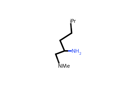 CNCC(N)CCC(C)C